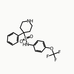 O=S(=O)(Nc1ccc(OC(F)(F)F)cc1)C1(c2ccccc2)CCNCC1